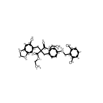 CCOC(=O)C(Cc1ccc(OCc2c(Cl)cccc2Cl)cc1)(Cc1cc2c(cc1Cl)OCO2)C(=O)OCC